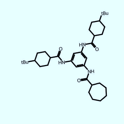 CC(C)(C)C1CCC(C(=O)Nc2cc(NC(=O)C3CCCCCC3)cc(NC(=O)C3CCC(C(C)(C)C)CC3)c2)CC1